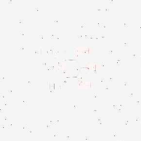 C[C@H]1OC(C(=O)O)[C@@H](O)C(O)C1O